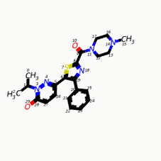 CC(C)n1nc(-c2sc(C(=O)N3CCN(C)CC3)nc2-c2ccccc2)ccc1=O